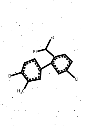 CCC(CC)c1ccc(Cl)cc1-c1ccc(Cl)c(C)c1